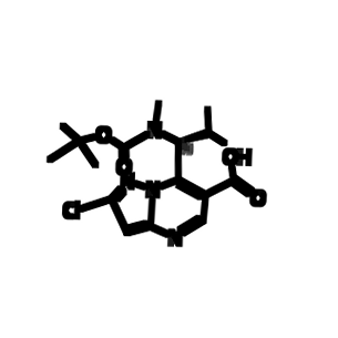 CC(C)[C@@H](c1c(C(=O)O)cnc2cc(Cl)nn12)N(C)C(=O)OC(C)(C)C